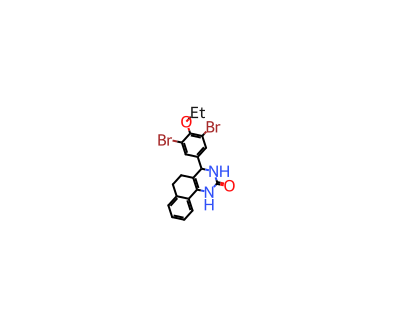 CCOc1c(Br)cc(C2NC(=O)NC3=C2CCc2ccccc23)cc1Br